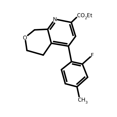 CCOC(=O)c1cc(-c2ccc(C)cc2F)c2c(n1)COCC2